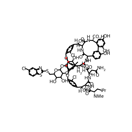 CN[C@@H](CC(C)C)C(=O)N[C@H]1C(=O)N[C@@H](CC(N)=O)C(=O)N[C@H]2C(=O)N[C@H]3C(=O)N[C@H](C(=O)N[C@@H](C(=O)O)c4cc(O)cc(O)c4-c4cc3ccc4O)[C@H](O)c3ccc(c(Cl)c3)Oc3cc2cc(c3OC2OC(CSc3nc4cc(Cl)ccc4s3)C(O)C(O)C2OC2CC(C)(N)C(O)C(C)O2)Oc2ccc(cc2Cl)[C@H]1O